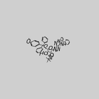 COc1ccc(C(OC[C@H]2O[C@@H](n3cnc4c(NC(=O)c5ccccc5)ncnc43)[C@H](O[Si](C)(C)C(C)(C)C)[C@@H]2O)(c2ccccc2)c2ccccc2)cc1